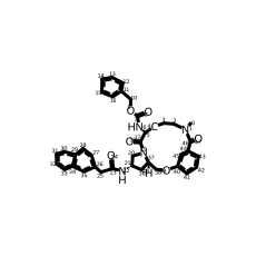 CN1CCC[C@H](NC(=O)OCc2ccccc2)C(=O)N2C[C@@H](NC(=O)Cc3ccc4ccccc4c3)C[C@H]2COc2cccc(c2)C1=O